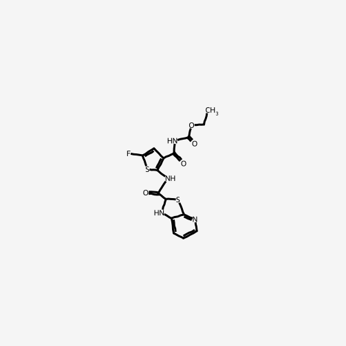 CCOC(=O)NC(=O)c1cc(F)sc1NC(=O)C1Nc2cccnc2S1